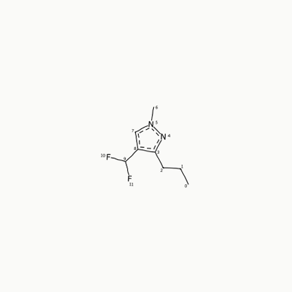 CCCc1nn(C)cc1C(F)F